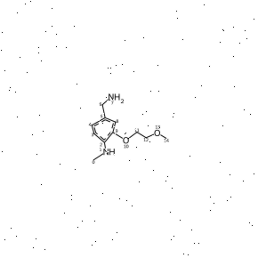 CNc1ccc(CN)cc1OCCOC